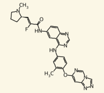 Cc1cc(Nc2ncnc3ccc(NC(=O)/C(F)=C/[C@H]4CCCN4C)cc23)ccc1Oc1cc2nncn2cn1